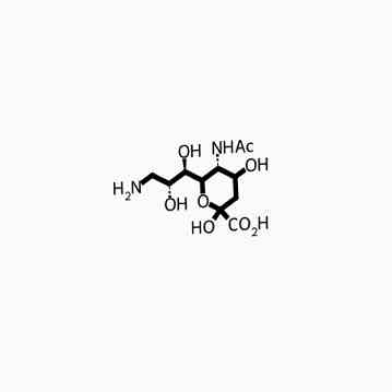 CC(=O)N[C@@H]1C(O)CC(O)(C(=O)O)OC1[C@H](O)[C@H](O)CN